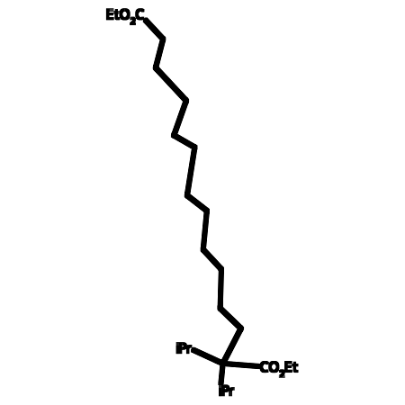 CCOC(=O)CCCCCCCCCCCC(C(=O)OCC)(C(C)C)C(C)C